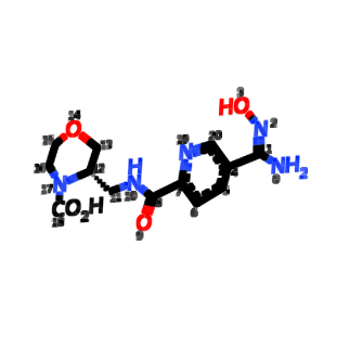 N/C(=N/O)c1ccc(C(=O)NC[C@H]2COCCN2C(=O)O)nc1